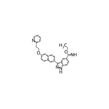 CCOC(=N)c1ccc2[nH]nc(-c3ccc4cc(OCCc5ccccn5)ccc4c3)c2c1